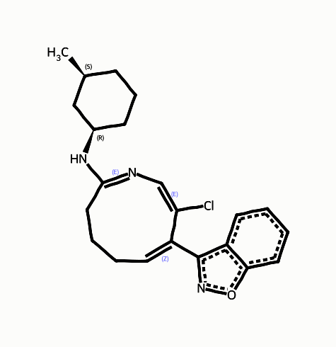 C[C@H]1CCC[C@@H](N/C2=N/C=C(Cl)\C(c3noc4ccccc34)=C/CCC2)C1